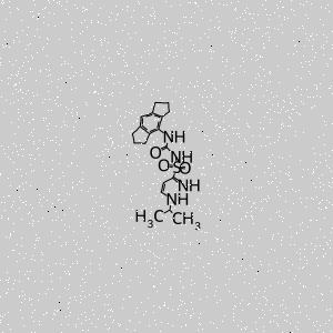 CC(C)N/C=C\C(=N)S(=O)(=O)NC(=O)Nc1c2c(cc3c1CCC3)CCC2